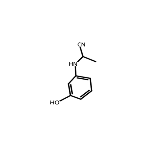 CC(C#N)Nc1cccc(O)c1